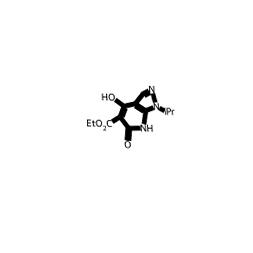 CCOC(=O)c1c(O)c2cnn(C(C)C)c2[nH]c1=O